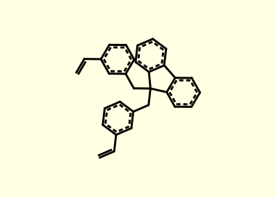 C=Cc1cccc(CC2(Cc3cccc(C=C)c3)c3ccccc3-c3ccccc32)c1